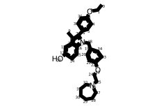 CCOc1ccc(-c2c(C)c3cc(O)ccc3n2Cc2ccc(OCCN3CCCCCC3)cc2)cc1